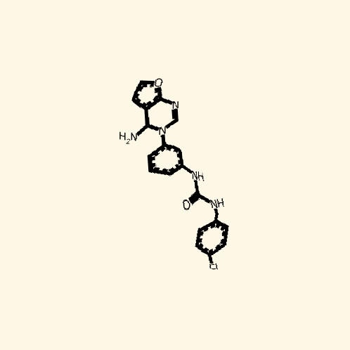 NC1c2ccoc2N=CN1c1cccc(NC(=O)Nc2ccc(Cl)cc2)c1